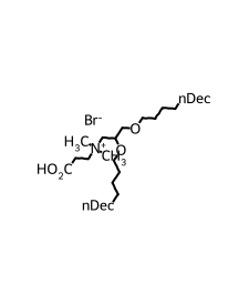 CCCCCCCCCCCCCCOCC(C[N+](C)(C)CCC(=O)O)OCCCCCCCCCCCCCC.[Br-]